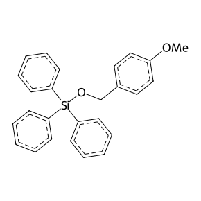 COc1ccc(CO[Si](c2ccccc2)(c2ccccc2)c2ccccc2)cc1